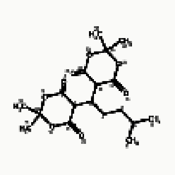 CC(C)CCC(C1C(=O)OC(C)(C)OC1=O)C1C(=O)OC(C)(C)OC1=O